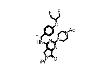 CC(=O)N1CCN(c2nc(N[C@H](C)c3ccc(OC(CF)CF)cc3)c3c(n2)C(=O)N(C(C)C)C3)CC1